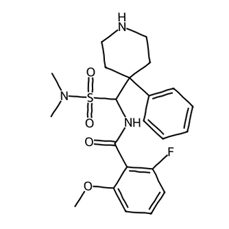 COc1cccc(F)c1C(=O)NC(C1(c2ccccc2)CCNCC1)S(=O)(=O)N(C)C